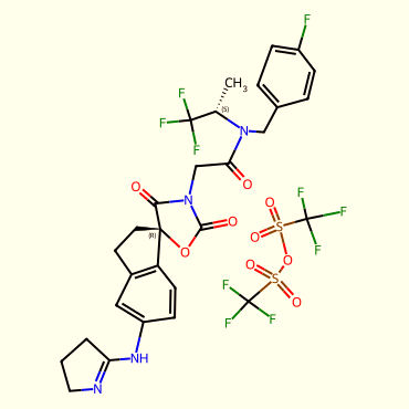 C[C@H](N(Cc1ccc(F)cc1)C(=O)CN1C(=O)O[C@@]2(CCc3cc(NC4=NCCC4)ccc32)C1=O)C(F)(F)F.O=S(=O)(OS(=O)(=O)C(F)(F)F)C(F)(F)F